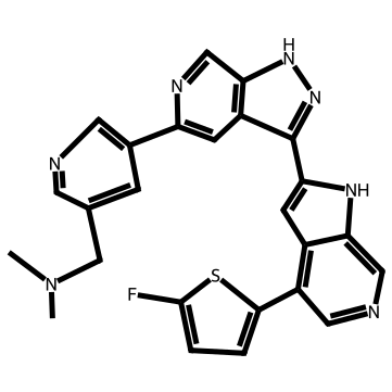 CN(C)Cc1cncc(-c2cc3c(-c4cc5c(-c6ccc(F)s6)cncc5[nH]4)n[nH]c3cn2)c1